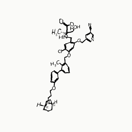 Cc1c(COc2cc(OCc3cncc(C#N)c3)c(CN[C@](C)(CO)C(=O)O)cc2Cl)cccc1-c1cccc(OCCCN2[C@@H]3CCC[C@H]2CC3)c1